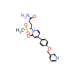 CS(=O)(=O)C(CCC(N)=O)n1ccc(-c2ccc(OCc3cccnc3)cc2)cc1=O